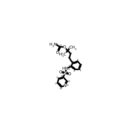 CC(C)(CCc1ccccc1NS(=O)(=O)c1cccnc1)OC(N)=O